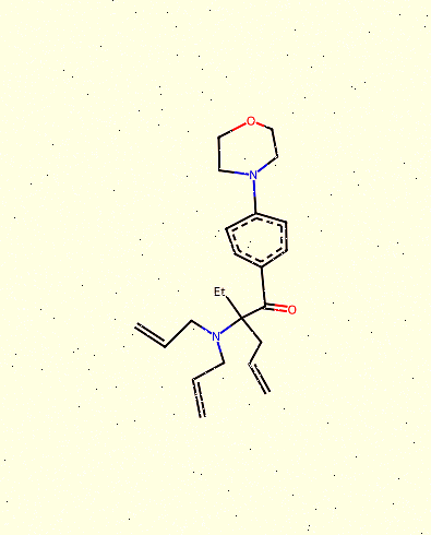 C=CCN(CC=C)C(CC)(CC=C)C(=O)c1ccc(N2CCOCC2)cc1